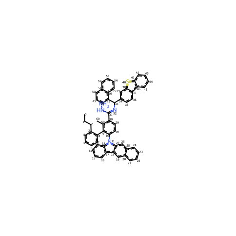 CCCc1ccccc1-c1c(-n2c3ccccc3c3cc4ccccc4cc32)ccc(/C(=N/C(c2ccc3c(c2)sc2ccccc23)c2cccc3ccccc23)NN)c1C